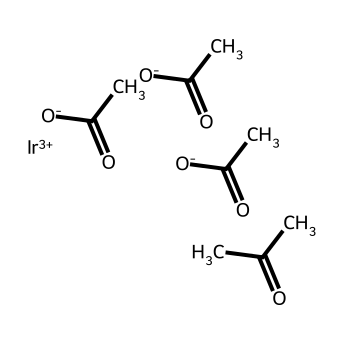 CC(=O)[O-].CC(=O)[O-].CC(=O)[O-].CC(C)=O.[Ir+3]